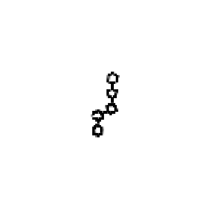 c1ccc(-c2cc(-c3cccc(C4CCC(C5CCCCC5)CC4)c3)ccn2)cc1